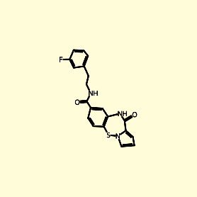 O=C(NCCc1cccc(F)c1)c1ccc2c(c1)NC(=O)c1cccn1S2